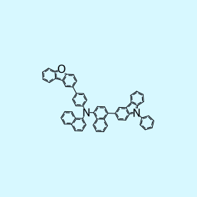 c1ccc(-n2c3ccccc3c3cc(-c4ccc(N(c5ccc(-c6ccc7oc8ccccc8c7c6)cc5)c5cccc6ccccc56)c5ccccc45)ccc32)cc1